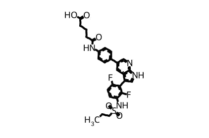 CCCS(=O)(=O)Nc1ccc(F)c(-c2c[nH]c3ncc(-c4ccc(NC(=O)CCCC(=O)O)cc4)cc23)c1F